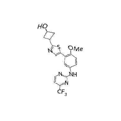 COc1ccc(Nc2nccc(C(F)(F)F)n2)cc1-c1cnc(C2CC(O)C2)s1